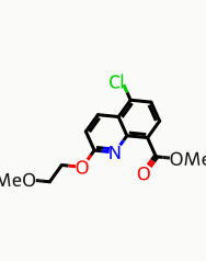 COCCOc1ccc2c(Cl)ccc(C(=O)OC)c2n1